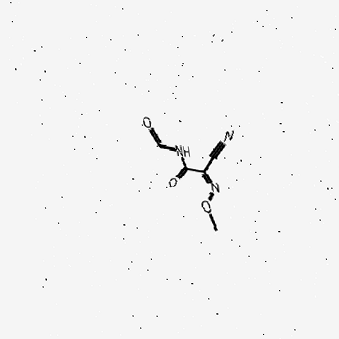 CON=C(C#N)C(=O)NC=O